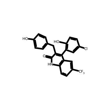 O=c1[nH]c2ccc(C(F)(F)F)cc2c(-c2cc(Cl)ccc2O)c1Cc1ccc(O)cc1